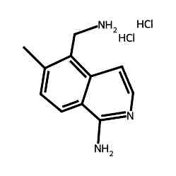 Cc1ccc2c(N)nccc2c1CN.Cl.Cl